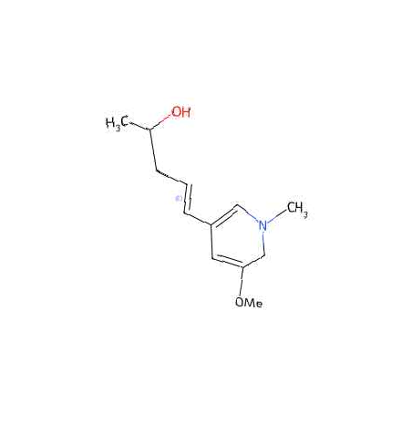 COC1=CC(/C=C/CC(C)O)=CN(C)C1